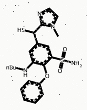 CCCCNc1cc(C(S)c2nccn2C)cc(S(N)(=O)=O)c1Oc1ccccc1